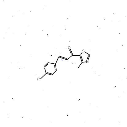 Cc1ncsc1C(=O)/C=C/c1ccc(C(C)C)cc1